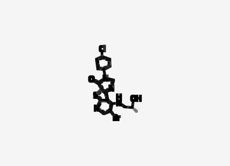 C[C@@H](O)CNc1c(Br)cnc2sc3c(=O)n(-c4ccc(Cl)cc4)cnc3c12